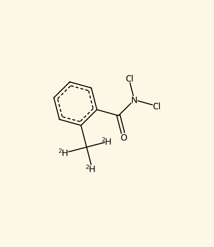 [2H]C([2H])([2H])c1ccccc1C(=O)N(Cl)Cl